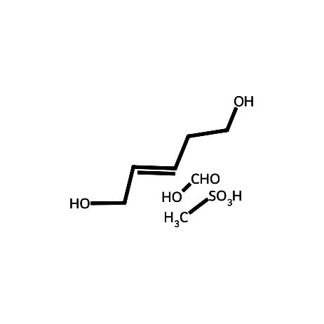 CS(=O)(=O)O.O=CO.OCC=CCCO